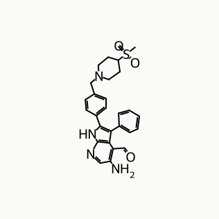 CS(=O)(=O)C1CCN(Cc2ccc(-c3[nH]c4ncc(N)c(C=O)c4c3-c3ccccc3)cc2)CC1